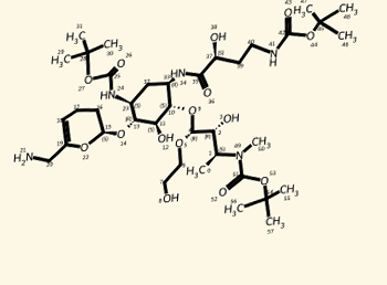 C[C@@H]([C@@H](O)[C@H](OCCO)O[C@@H]1[C@@H](O)[C@H](O[C@@H]2CCC=C(CN)O2)[C@@H](NC(=O)OC(C)(C)C)C[C@H]1NC(=O)[C@@H](O)CCNC(=O)OC(C)(C)C)N(C)C(=O)OC(C)(C)C